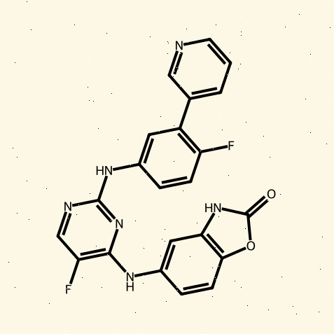 O=c1[nH]c2cc(Nc3nc(Nc4ccc(F)c(-c5cccnc5)c4)ncc3F)ccc2o1